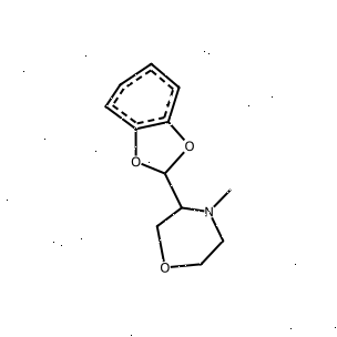 CN1CCOCC1C1Oc2ccccc2O1